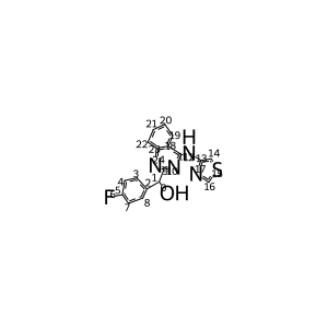 OC(c1ccc(F)cc1)c1nc(Nc2cscn2)c2ccccc2n1